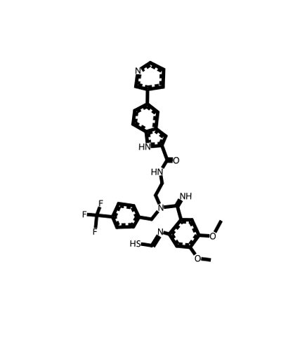 COc1cc(/N=C/S)c(C(=N)N(CCNC(=O)c2cc3cc(-c4cccnc4)ccc3[nH]2)Cc2ccc(C(F)(F)F)cc2)cc1OC